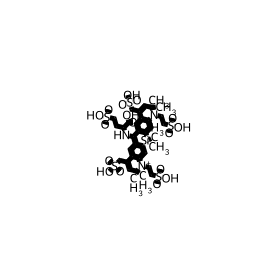 CC1(C)C=C(CS(=O)(=O)O)c2cc3c(cc2N1CCS(=O)(=O)O)[Si](C)(C)c1cc2c(cc1=C3NC(CCS(=O)(=O)O)C(=O)O)C(CS(=O)(=O)O)=CC(C)(C)[N+]=2CCS(=O)(=O)O